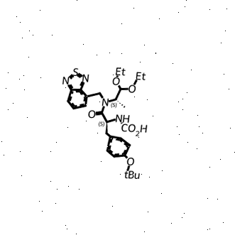 CCOC(OCC)[C@H](C)N(Cc1cccc2nsnc12)C(=O)[C@H](Cc1ccc(OC(C)(C)C)cc1)NC(=O)O